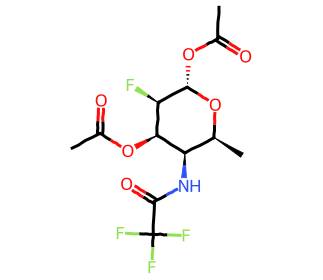 CC(=O)O[C@@H]1O[C@@H](C)[C@@H](NC(=O)C(F)(F)F)[C@@H](OC(C)=O)[C@H]1F